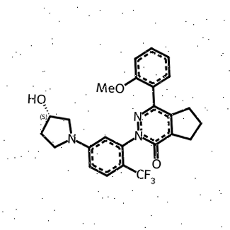 COc1ccccc1-c1nn(-c2cc(N3CC[C@H](O)C3)ccc2C(F)(F)F)c(=O)c2c1CCC2